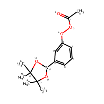 CC(=O)OOc1cccc(B2OC(C)(C)C(C)(C)O2)c1